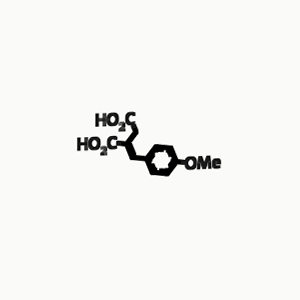 COc1ccc(C=C(CC(=O)O)C(=O)O)cc1